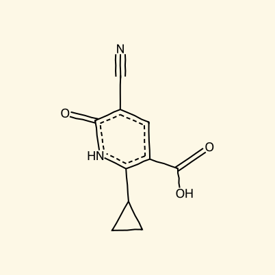 N#Cc1cc(C(=O)O)c(C2CC2)[nH]c1=O